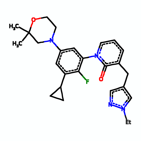 CCn1cc(Cc2cccn(-c3cc(N4CCOC(C)(C)C4)cc(C4CC4)c3F)c2=O)cn1